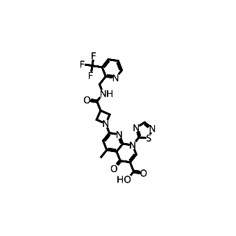 Cc1cc(N2CC(C(=O)NCc3ncccc3C(F)(F)F)C2)nc2c1c(=O)c(C(=O)O)cn2-c1ncns1